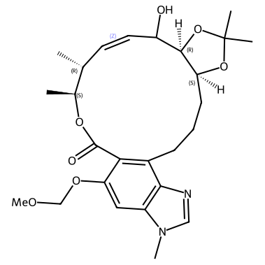 COCOc1cc2c(ncn2C)c2c1C(=O)O[C@@H](C)[C@H](C)/C=C\C(O)[C@H]1OC(C)(C)O[C@H]1CCC2